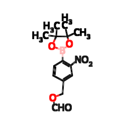 CC1(C)OB(c2ccc(COC=O)cc2[N+](=O)[O-])OC1(C)C